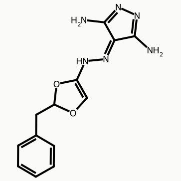 NC1=NN=C(N)C1=NNC1=COC(Cc2ccccc2)O1